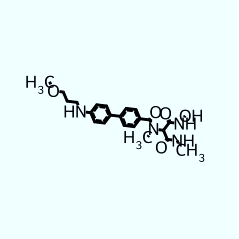 CNC(=O)C(C(=O)NO)N(C)C(=O)c1ccc(-c2ccc(NCCCOC)cc2)cc1